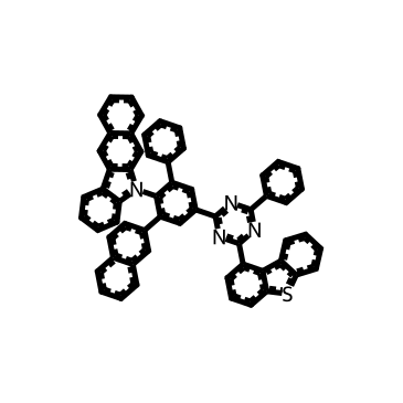 c1ccc(-c2nc(-c3cc(-c4ccccc4)c(-n4c5ccccc5c5cc6ccccc6cc54)c(-c4ccc5ccccc5c4)c3)nc(-c3cccc4sc5ccccc5c34)n2)cc1